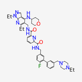 CCc1nc2c(cnn2CC)c(NC2CCOCC2)c1CNC(=O)c1cccc(C(=O)NCc2ccc(F)c(-c3cccc(CN4CCN(CC)CC4)c3)c2)n1